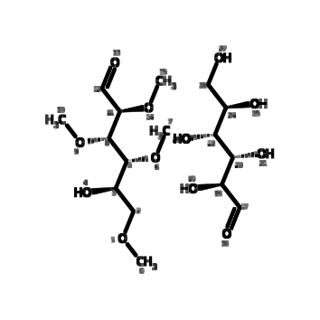 COC[C@@H](O)[C@@H](OC)[C@H](OC)[C@@H](C=O)OC.O=C[C@@H](O)[C@@H](O)[C@H](O)[C@H](O)CO